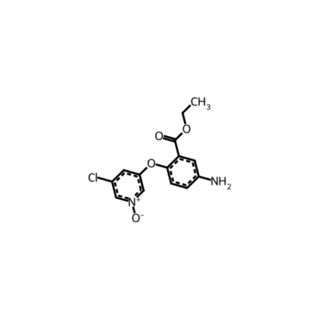 CCOC(=O)c1cc(N)ccc1Oc1cc(Cl)c[n+]([O-])c1